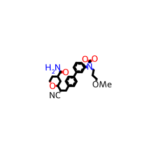 COCCCn1c(=O)oc2ccc(-c3ccc(CC(C#N)C4CC(C(N)=O)CCO4)cc3)cc21